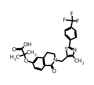 Cc1nc(-c2ccc(C(F)(F)F)cc2)sc1CN1CCc2cc(OC(C)(C)C(=O)O)ccc2C1=O